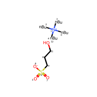 CCCC[N+](CCCC)(CCCC)CCCC.O=S(=O)([O-])CCCO